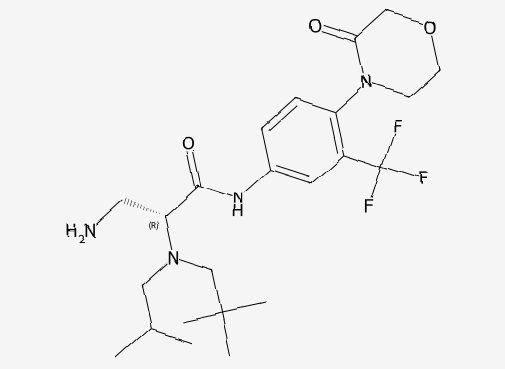 CC(C)CN(CC(C)(C)C)[C@H](CN)C(=O)Nc1ccc(N2CCOCC2=O)c(C(F)(F)F)c1